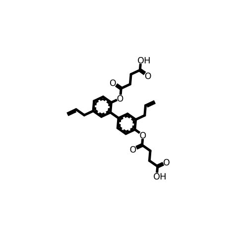 C=CCc1ccc(OC(=O)CCC(=O)O)c(-c2ccc(OC(=O)CCC(=O)O)c(CC=C)c2)c1